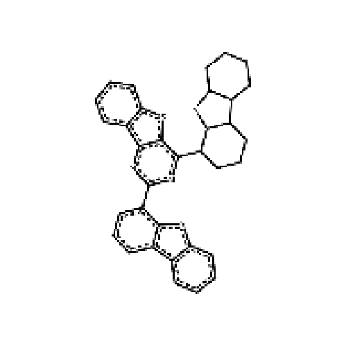 c1ccc2c(c1)sc1c(-c3nc(C4CCCC5C6CCCCC6SC45)c4sc5ccccc5c4n3)cccc12